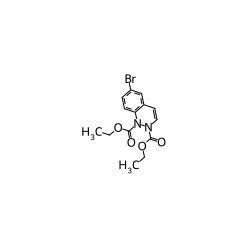 CCOC(=O)N1C=Cc2cc(Br)ccc2N1C(=O)OCC